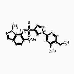 COc1ccc2cnn(C)c2c1NS(=O)(=O)c1cnn(-c2cc(C)c(CO)cn2)c1